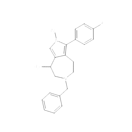 CC1CN(Cc2ccccc2)CCc2c1cn(C(C)C)c2-c1ccc(F)cc1